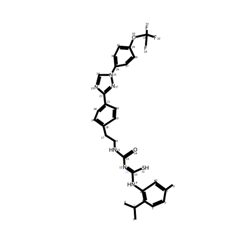 Cc1ccc(C(C)C)c(N/C(S)=N/C(=O)NCCc2ccc(-c3ncn(-c4ccc(OC(F)(F)F)cc4)n3)cc2)c1